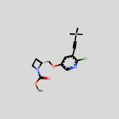 CC(C)(C)OC(=O)N1CC[C@@H]1COc1cnc(Cl)c(C#C[Si](C)(C)C)c1